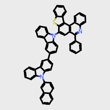 c1ccc(-c2nc3ccccc3c3c2cc(-n2c4ccccc4c4cc(-c5ccc6c(c5)c5ccccc5n6-c5ccc6ccccc6c5)ccc42)c2sc4ccccc4c23)cc1